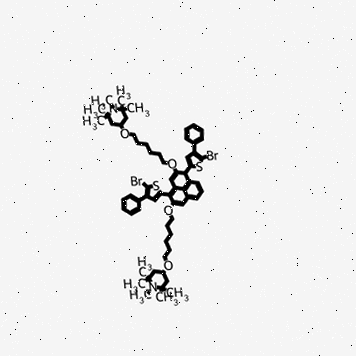 CN1C(C)(C)CC(OCCCCCCOC2=Cc3c(-c4cc(-c5ccccc5)c(Br)s4)c(OCCCCCCOC4CC(C)(C)N(C)C(C)(C)C4)cc4cccc(c34)C2c2cc(-c3ccccc3)c(Br)s2)CC1(C)C